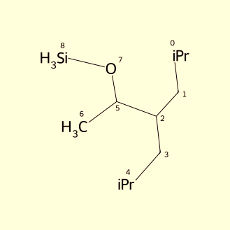 CC(C)CC(CC(C)C)C(C)O[SiH3]